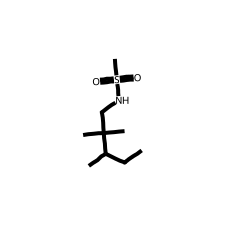 CCC(C)C(C)(C)CNS(C)(=O)=O